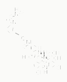 COc1cc(C(=O)NC23CC(C#Cc4cccc5c4CN(C4CCC(=O)NC4=O)C5=O)(C2)C3)ccc1NC(=O)[C@@H]1N[C@@H](CC(C)(C)C)[C@@]2(CNc3cc(Cl)ccc32)[C@H]1c1cccc(Cl)c1F